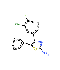 Nc1nc(-c2ccc(F)c(Cl)c2)c(-c2ccccc2)s1